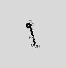 O=C(O)CCCNCCCC=Cc1cccc(Cl)c1Cl